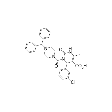 CC1=C(C(=O)O)C(c2cccc(Cl)c2)N(C(=O)N2CCN(C(c3ccccc3)c3ccccc3)CC2)C(=O)N1